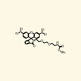 CCN(CC)c1ccc2c(c1)Oc1cc(N(CC)CC)ccc1C21c2ccccc2C(=O)N1CCOCCOCCNC(=O)OC(C)(C)C